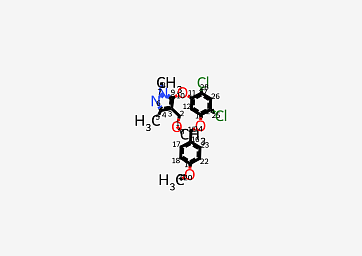 COCc1c(C)nn(C)c1Oc1cc(OCc2ccc(OC)cc2)c(Cl)cc1Cl